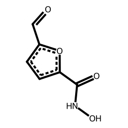 O=Cc1ccc(C(=O)NO)o1